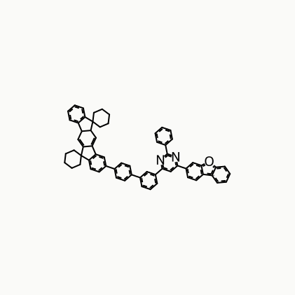 C1=C2C(=CC3c4ccccc4C4(CCCCC4)C13)C1(CCCCC1)c1ccc(-c3ccc(-c4cccc(-c5cc(-c6ccc7c(c6)oc6ccccc67)nc(-c6ccccc6)n5)c4)cc3)cc12